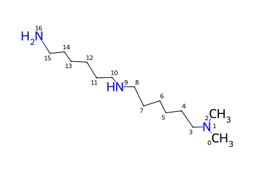 CN(C)CCCCCCNCCCCCCN